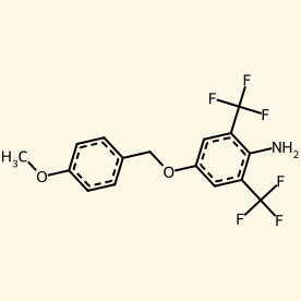 COc1ccc(COc2cc(C(F)(F)F)c(N)c(C(F)(F)F)c2)cc1